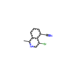 Cc1ncc(Br)c2c(C#N)cccc12